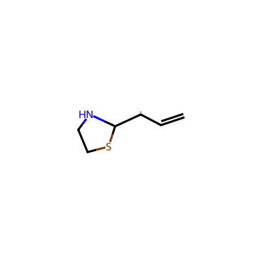 C=C[CH]C1NCCS1